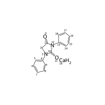 O=C1CN(c2ccccc2)C(=O)N1c1ccccc1.[CaH2]